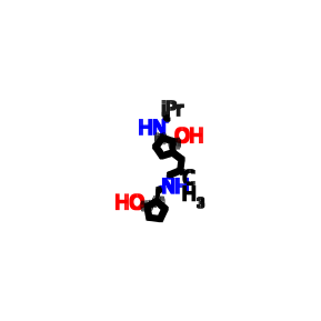 CC(C)CN[C@H]1CCC(CC(C)CNC[C@H]2CCC[C@@H]2O)[C@H]1O